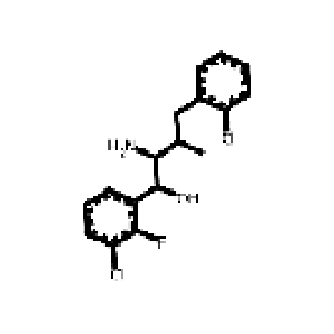 CC(Cc1ccccc1Cl)C(N)C(O)c1cccc(Cl)c1F